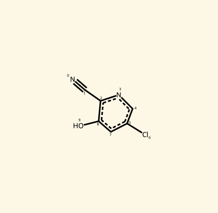 N#Cc1ncc(Cl)cc1O